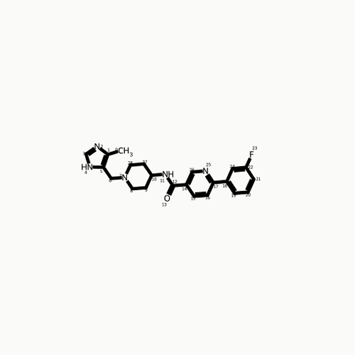 Cc1nc[nH]c1CN1CCC(NC(=O)c2ccc(-c3cccc(F)c3)nc2)CC1